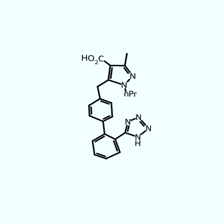 CCCn1nc(C)c(C(=O)O)c1Cc1ccc(-c2ccccc2-c2nnn[nH]2)cc1